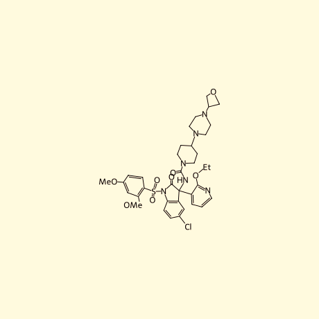 CCOc1ncccc1C1(NC(=O)N2CCC(N3CCN(C4COC4)CC3)CC2)C(=O)N(S(=O)(=O)c2ccc(OC)cc2OC)c2ccc(Cl)cc21